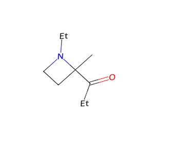 CCC(=O)C1(C)CCN1CC